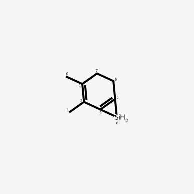 CC1=C(C)C2=C(CC1)[SiH2]2